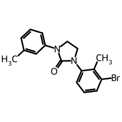 Cc1cccc(N2CCN(c3cccc(Br)c3C)C2=O)c1